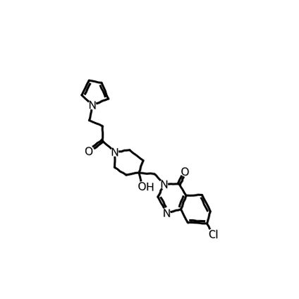 O=C(CCn1cccc1)N1CCC(O)(Cn2cnc3cc(Cl)ccc3c2=O)CC1